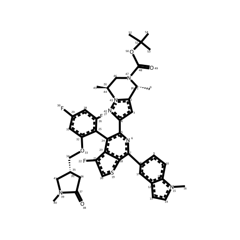 C[C@@H]1c2cc(-c3nc(-c4ccc5c(ccn5C)c4)c4scc(F)c4c3-c3c(F)cc(F)cc3OC[C@@H]3CC(=O)N(C)C3)nn2[C@@H](C)CN1C(=O)OC(C)(C)C